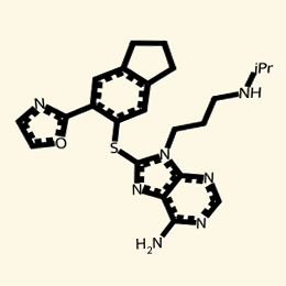 CC(C)NCCCn1c(Sc2cc3c(cc2-c2ncco2)CCC3)nc2c(N)ncnc21